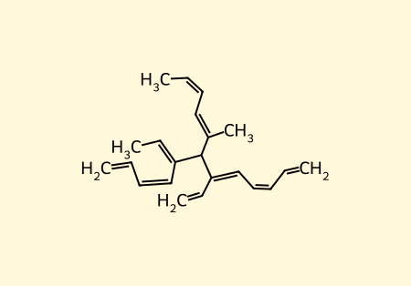 C=C/C=C\C=C(/C=C)C(/C(C)=C/C=C\C)C(/C=C\C=C)=C/C